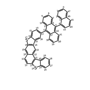 c1ccc2c(-c3c4ccccc4c(-c4ccc5sc6cc7ccc8sc9ccccc9c8c7cc6c5c4)c4ccccc34)cccc2c1